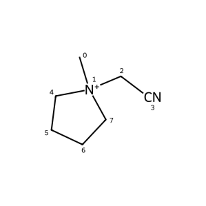 C[N+]1(CC#N)CCCC1